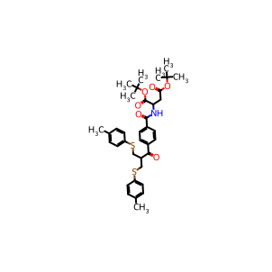 Cc1ccc(SCC(CSc2ccc(C)cc2)C(=O)c2ccc(C(=O)NC(CC(=O)OC(C)(C)C)C(=O)OC(C)(C)C)cc2)cc1